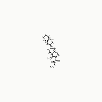 CC(=O)CNC(=O)c1ncc2nc(-c3ccc4ccccc4c3)ccc2c1O